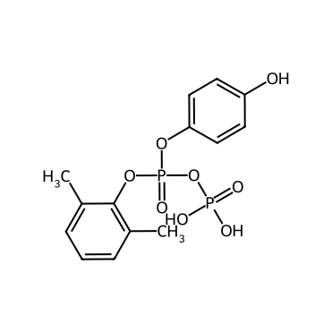 Cc1cccc(C)c1OP(=O)(Oc1ccc(O)cc1)OP(=O)(O)O